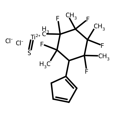 CC1(F)C(C2=CC=CC2)C(C)(F)C(C)(F)C(C)(F)C1(C)F.[Cl-].[Cl-].[S]=[Ti+2]